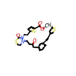 COC(=O)c1ccc(CCN2C(=O)SCCN2CCC(=O)Cc2cccc(C#Cc3ccsc3)c2)s1